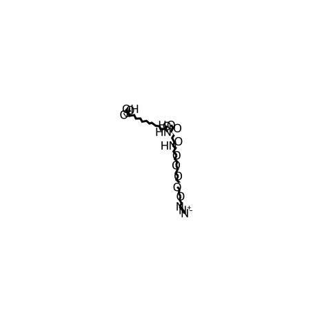 [N-]=[N+]=NCCOCCOCCOCCOCCOCCNC(=O)CC[C@H](NC(=O)CCCCCCCCCCCS(=O)(=O)O)C(=O)O